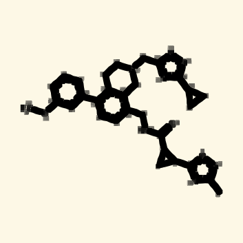 Cc1noc(C2CC2C(=O)NCc2ccc(-c3cccc(OC(F)(F)F)c3)c3c2CN(Cc2noc(C4CC4)n2)CC3)n1